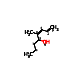 C=CC=C(C)C(O)CCC